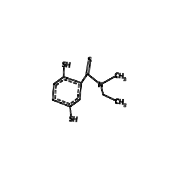 CCN(C)C(=S)c1cc(S)ccc1S